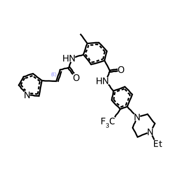 CCN1CCN(c2ccc(NC(=O)c3ccc(C)c(NC(=O)/C=C/c4cccnc4)c3)cc2C(F)(F)F)CC1